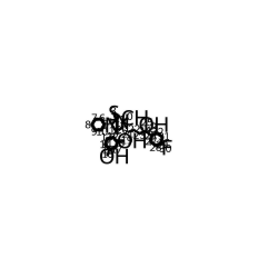 CN1C(=S)N(c2ccccc2)[C@H](c2ccc(O)cc2O)[C@H]1CCCC(O)c1ccc(F)cc1